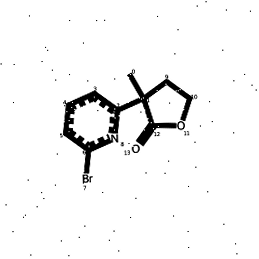 CC1(c2cccc(Br)n2)CCOC1=O